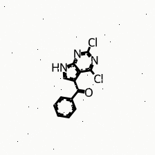 O=C(c1ccccc1)c1c[nH]c2nc(Cl)nc(Cl)c12